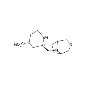 O=C(O)N1CCN[C@@H](CN2C3CCC2COC3)C1